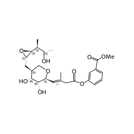 COC(=O)c1cccc(OC(=O)C/C(C)=C/[C@@H]2OC[C@H](C[C@@H]3O[C@H]3[C@@H](C)[C@H](C)O)[C@@H](O)[C@H]2O)c1